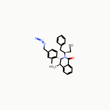 Cc1cc(CN=[N+]=[N-])ccc1[C@H]1[C@H](C(=O)O)c2ccccc2C(=O)N1[C@H](CN=O)Cc1ccccc1